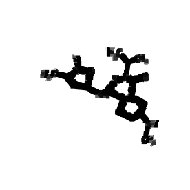 CNc1ccc2c(Nc3cc(C)[nH]n3)nn(C(C)C)c(=O)c2c1